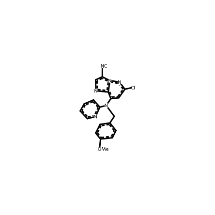 [C-]#[N+]c1cnc2c(N(Cc3ccc(OC)cc3)c3ccccn3)cc(Cl)nn12